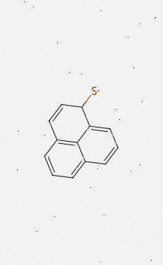 [S]C1C=Cc2cccc3cccc1c23